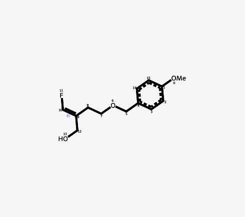 COc1ccc(COCC/C(=C\F)CO)cc1